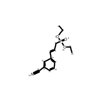 CCOP(=O)(C/C=C/c1cccc(C#N)c1)OCC